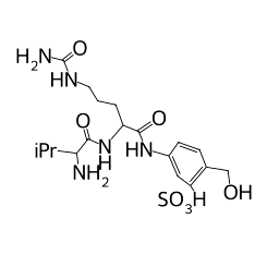 CC(C)C(N)C(=O)NC(CCCNC(N)=O)C(=O)Nc1ccc(CO)c(S(=O)(=O)O)c1